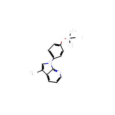 CC(C)(C)[Si](C)(C)Oc1ccc(-n2cc(C#N)c3cccnc32)cc1